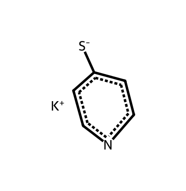 [K+].[S-]c1ccncc1